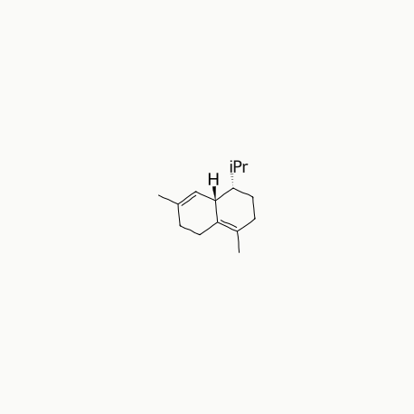 CC1=C[C@H]2C(=C(C)CC[C@H]2C(C)C)CC1